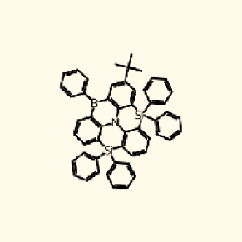 CC(C)(C)c1cc2c3c(c1)[Si](c1ccccc1)(c1ccccc1)c1cccc4c1N3c1c(cccc1[Si]4(c1ccccc1)c1ccccc1)B2c1ccccc1